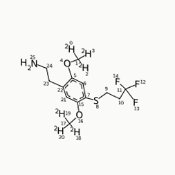 [2H]C([2H])([2H])Oc1cc(SCCC(F)(F)F)c(OC([2H])([2H])[2H])cc1CCN